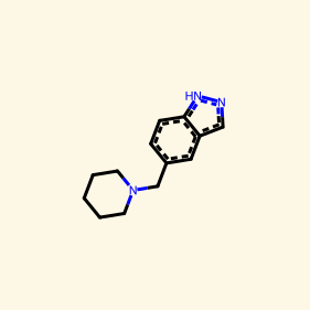 c1cc2[nH]ncc2cc1CN1CCCCC1